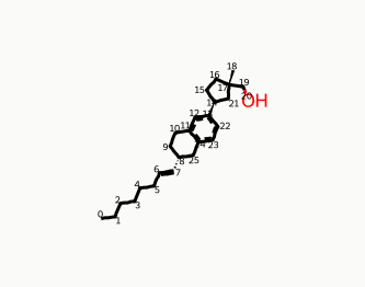 CCCCCC/C=C/[C@@H]1CCc2cc([C@H]3CC[C@](C)(CO)C3)ccc2C1